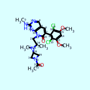 CNc1ncc2cc(-c3c(Cl)c(OC)cc(OC)c3Cl)c(=O)n(C[C@H](C)N(C)C3CN(C(C)=O)C3)c2n1